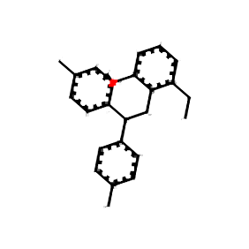 CCc1c[c]cc(CC)c1CC(c1ccc(C)cc1)c1ccc(C)cc1